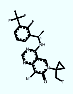 C[C@@H](Nc1ncnc2c(Br)c(=O)n(C3(CF)CC3)cc12)c1cccc(C(C)(F)F)c1F